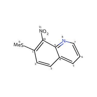 CSc1ccc2cccnc2c1[N+](=O)[O-]